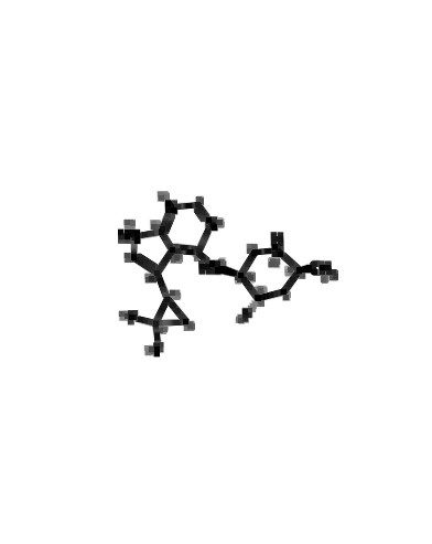 C[C@H]1C[C@H](F)[C@@H](Nc2ncnc3[nH]cc(C4CC4(F)F)c23)CN1